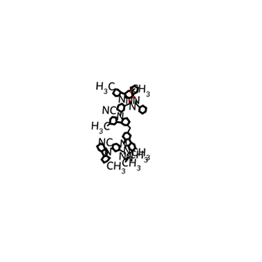 Cc1ccc2c(c1)c1cc(Cc3ccc4c(c3)c3ccc(C)cc3n4-c3cc(C#N)c(-n4c5ccccc5c5ccc(C)cc54)cc3-c3nc(C)nc(C)n3)ccc1n2-c1cc(-c2nc(-c3ccccc3)nc(-c3ccccc3)n2)c(-n2c3ccc(C)cc3c3cc(C)ccc32)cc1C#N